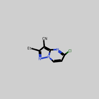 CCc1nn2ccc(Cl)nc2c1C#N